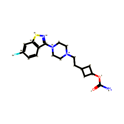 NC(=O)OC1CC(CCN2CCN(c3nsc4cc(F)ccc34)CC2)C1